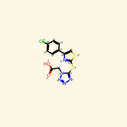 O=C(O)Cn1nnnc1Sc1nc(-c2ccc(Cl)cc2)cs1